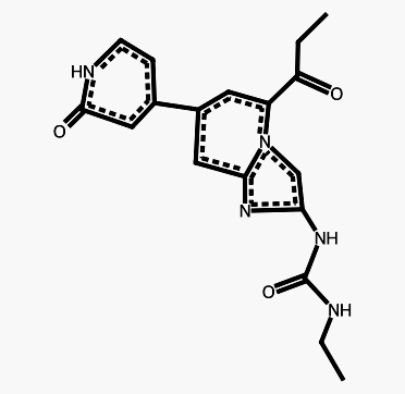 CCNC(=O)Nc1cn2c(C(=O)CC)cc(-c3cc[nH]c(=O)c3)cc2n1